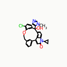 Cn1cncc1C1(O)c2ccc(Cl)c(c2)OCCc2cccc(c2)-c2cc(=O)n(C3CC3)c3ccc1cc23